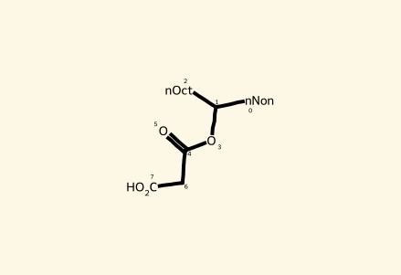 CCCCCCCCCC(CCCCCCCC)OC(=O)CC(=O)O